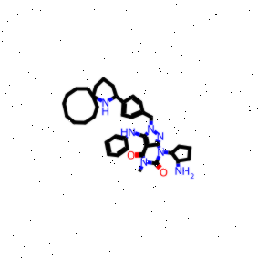 Cn1c(=O)c2c(Nc3ccccc3)n(Cc3ccc(C4CCCC5(CCCCCCCCC5)N4)cc3)nc2n(C2CCCC2N)c1=O